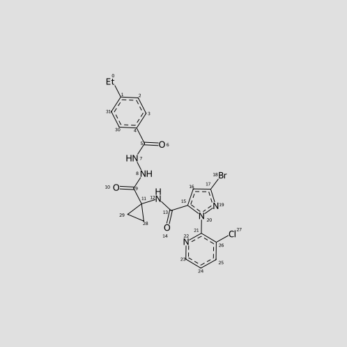 CCc1ccc(C(=O)NNC(=O)C2(NC(=O)c3cc(Br)nn3-c3ncccc3Cl)CC2)cc1